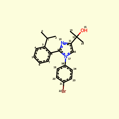 CC(C)c1ccccc1-c1nc(C(C)(C)O)cn1-c1ccc(Br)cc1